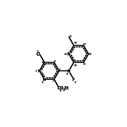 CCOC(=O)c1nnc(Cl)cc1N(F)c1cccc(C)n1